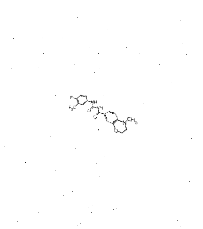 CN1CCOc2cc(C(=O)NC(=O)Nc3ccc(F)c(C(F)(F)F)c3)ccc21